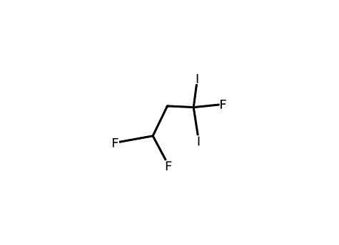 FC(F)CC(F)(I)I